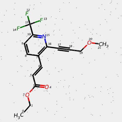 CCOC(=O)C=Cc1ccc(C(F)(F)F)nc1C#CCOC